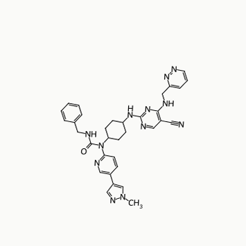 Cn1cc(-c2ccc(N(C(=O)NCc3ccccc3)C3CCC(Nc4ncc(C#N)c(NCc5cccnn5)n4)CC3)nc2)cn1